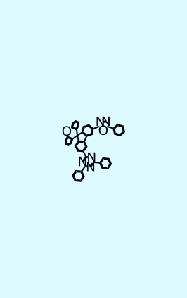 c1ccc(-c2nc(-c3ccccc3)nc(-c3ccc4c(c3)-c3cc(-c5nnc(-c6ccccc6)o5)ccc3C43c4ccccc4Oc4ccccc43)n2)cc1